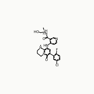 C[C@H](CO)NC(=O)c1cnccc1Nc1cc(-c2cc(Cl)ccc2F)c(=O)n2c1N(C)CCC2